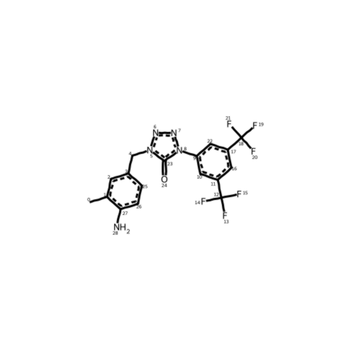 Cc1cc(Cn2nnn(-c3cc(C(F)(F)F)cc(C(F)(F)F)c3)c2=O)ccc1N